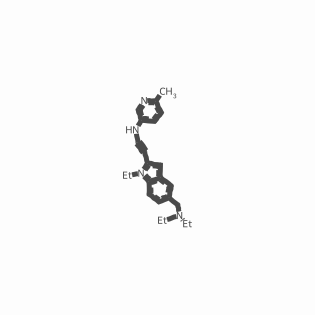 CCN(CC)Cc1ccc2c(c1)cc(C#CNc1ccc(C)nc1)n2CC